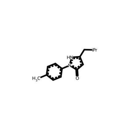 Cc1ccc(-n2[nH]c(CC(C)C)cc2=O)cc1